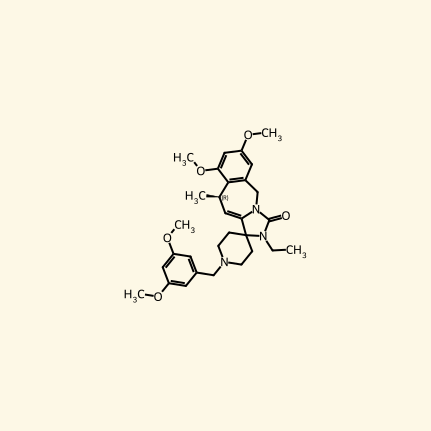 CCN1C(=O)N2Cc3cc(OC)cc(OC)c3[C@H](C)C=C2C12CCN(Cc1cc(OC)cc(OC)c1)CC2